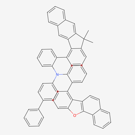 CC1(C)c2cc3ccccc3cc2-c2c(-c3ccccc3N(c3ccc(-c4ccccc4)cc3)c3ccccc3-c3cccc4oc5c6ccccc6ccc5c34)cccc21